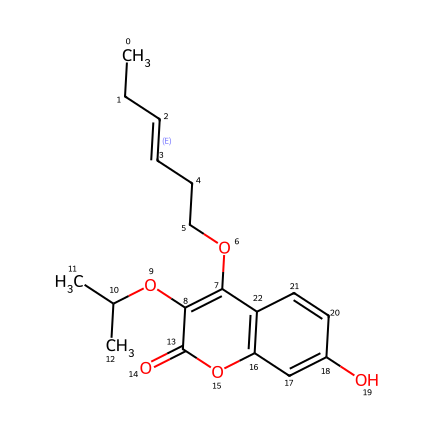 CC/C=C/CCOc1c(OC(C)C)c(=O)oc2cc(O)ccc12